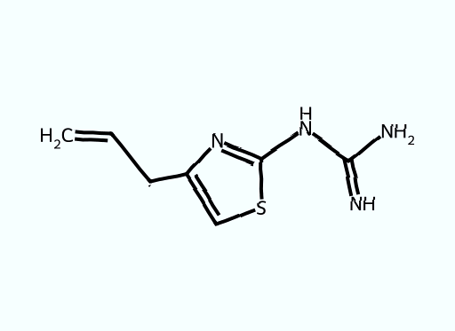 C=C[CH]c1csc(NC(=N)N)n1